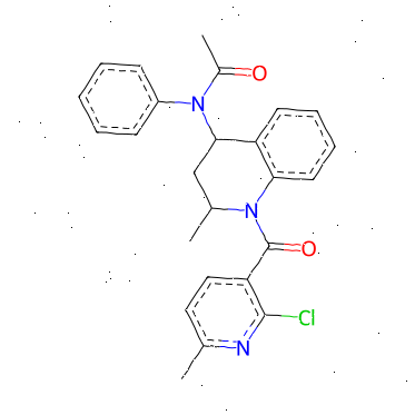 CC(=O)N(c1ccccc1)C1CC(C)N(C(=O)c2ccc(C)nc2Cl)c2ccccc21